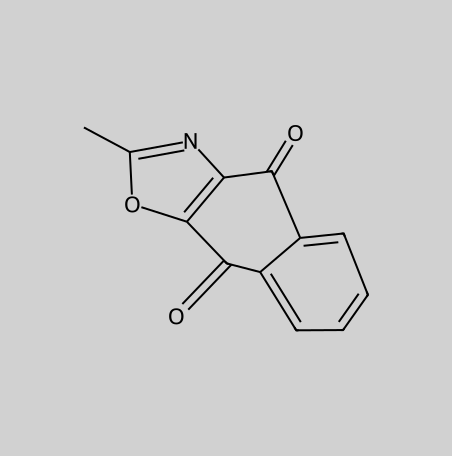 Cc1nc2c(o1)C(=O)c1ccccc1C2=O